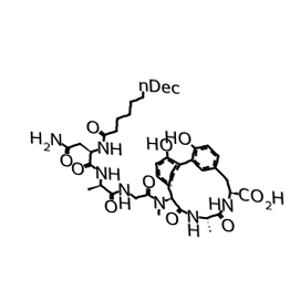 CCCCCCCCCCCCCCCC(=O)N[C@H](CC(N)=O)C(=O)N[C@H](C)C(=O)NCC(=O)N(C)[C@@H]1C(=O)N[C@@H](C)C(=O)N[C@H](C(=O)O)Cc2ccc(O)c(c2)-c2cc1ccc2O